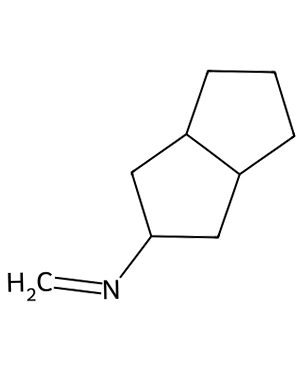 C=NC1CC2CCCC2C1